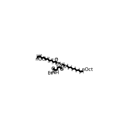 CCCCCCCC/C=C\CCCCCCCOCN(COC(=O)CCCCCCC/C=C\CCCCCCCC)C(=O)CCC(=O)NCC